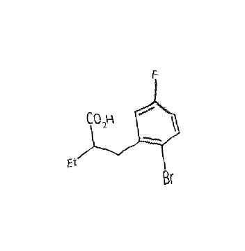 CCC(Cc1cc(F)ccc1Br)C(=O)O